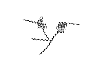 C=C1C=C(CCCCCCCCC)NC(NC(=O)NCCCCCCCCC(CCCCCCCCCC)C(CCCCCCCCCC)CCCCCCCCNC(=O)Nc2nc(=O)cc(CCCCCCCCC)[nH]2)=N1